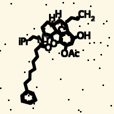 C=CCN1CC[C@]23c4c5c(O)cc(OC(C)=O)c4O[C@H]2[C@H](N(CC(C)C)C(=O)CCCCCCCc2ccccc2)CC[C@H]3[C@H]1C5